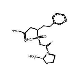 CCCCCC(=O)CC(CCc1ccccc1)P(=O)(O)CC(=O)N1CCC[C@H]1C(=O)O